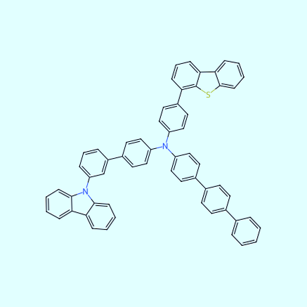 c1ccc(-c2ccc(-c3ccc(N(c4ccc(-c5cccc(-n6c7ccccc7c7ccccc76)c5)cc4)c4ccc(-c5cccc6c5sc5ccccc56)cc4)cc3)cc2)cc1